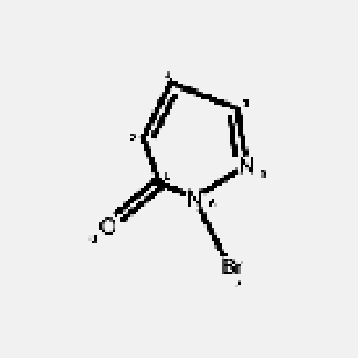 O=c1cccnn1Br